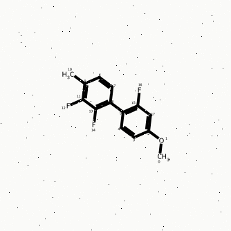 COc1ccc(-c2ccc(C)c(F)c2F)c(F)c1